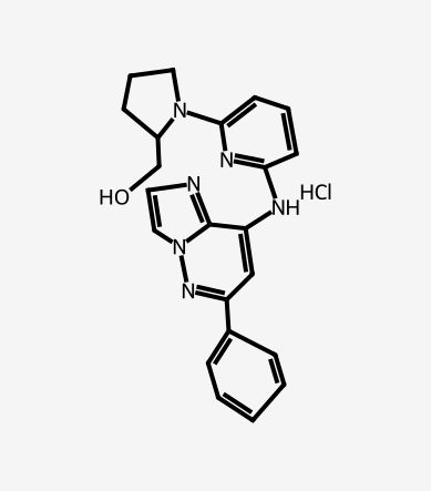 Cl.OCC1CCCN1c1cccc(Nc2cc(-c3ccccc3)nn3ccnc23)n1